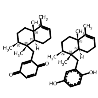 CC1=CCC[C@H]2[C@](C)(CC3=CC(=O)C=CC3=O)[C@@H](C)CC[C@]12C.CC1=CCC[C@H]2[C@](C)(Cc3cc(O)ccc3O)[C@@H](C)CC[C@]12C